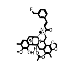 COc1c(C)cc2c(c1O)C1[C@@H]3Cc4c(OC(C)=O)c(C)c5c(c4C(CNC(=O)/C=C/c4cccc(CF)c4)N3[C@@H](C#N)C(C2)N1C)OCO5